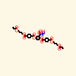 C=CC(=O)OCCCCOC(=O)C1CCC(C(=O)Oc2ccc(OC(=O)C3CCC(C(=O)OCCCCOC(=O)C=C)CC3)c(/C(=N/N(C)C)OO)c2)CC1